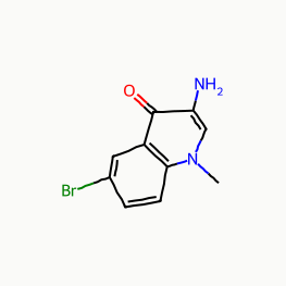 Cn1cc(N)c(=O)c2cc(Br)ccc21